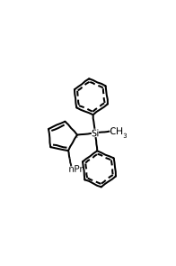 CCCC1=CC=C[C]1[Si](C)(c1ccccc1)c1ccccc1